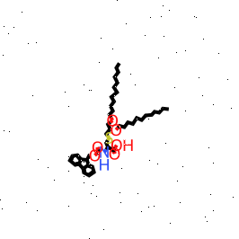 CCCCCCCCCCCCOCC(CSCC(NC(=O)OCC1c2ccccc2-c2ccccc21)C(=O)O)OCCCCCCCCCCCC